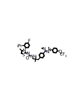 C=N/C(=N\N(C)c1ccc(OC(F)(F)F)cc1)c1ccc(CC(C)(C)CNC(=O)/N=c2\scc(C)n2-c2ccc(F)cc2C(C)C)cc1